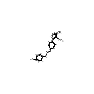 Cc1noc(-c2ccc(COCc3ccc(F)cc3)cc2)c1N